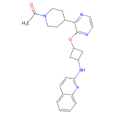 CC(=O)N1CCC(c2nccnc2OC2CC(Nc3ccc4ccccc4n3)C2)CC1